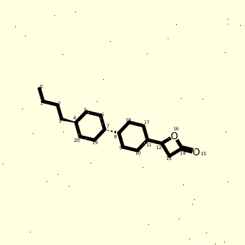 CCCC[C@H]1CC[C@H](C2CCC(C3CC(=O)O3)CC2)CC1